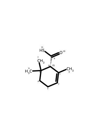 CC1=CCCC(C)(C)[C@@H]1C(=O)S